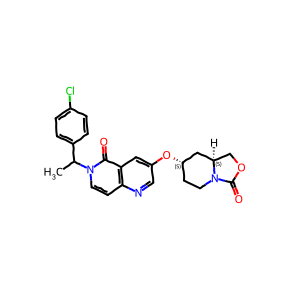 CC(c1ccc(Cl)cc1)n1ccc2ncc(O[C@H]3CCN4C(=O)OC[C@@H]4C3)cc2c1=O